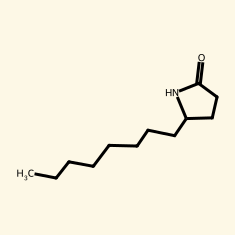 CCCCCCCCC1CCC(=O)N1